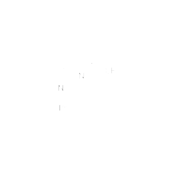 CC(C)c1cn(CC(F)(F)F)cn1